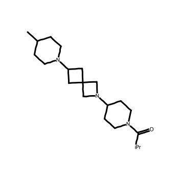 CC1CCN(C2CC3(C2)CN(C2CCN(C(=O)C(C)C)CC2)C3)CC1